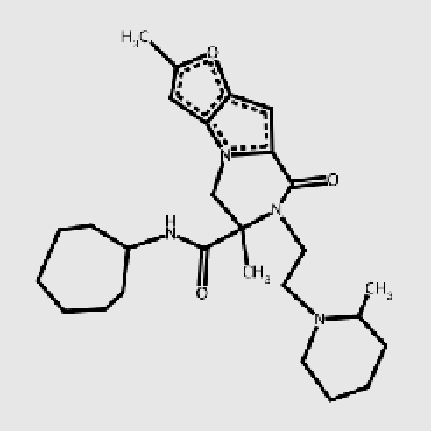 Cc1cc2c(cc3n2CC(C)(C(=O)NC2CCCCCC2)N(CCN2CCCCC2C)C3=O)o1